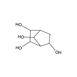 OC1CC2C(O)C(O)C1C2O